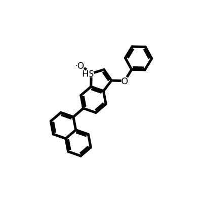 [O][SH]1C=C(Oc2ccccc2)c2ccc(-c3cccc4ccccc34)cc21